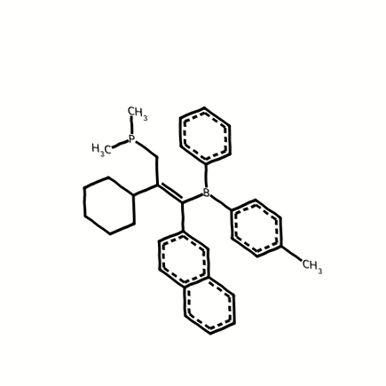 Cc1ccc(B(/C(=C(\CP(C)C)C2CCCCC2)c2ccc3ccccc3c2)c2ccccc2)cc1